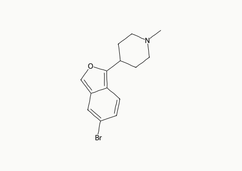 CN1CCC(c2occ3cc(Br)ccc23)CC1